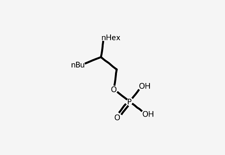 CCCCCCC(CCCC)COP(=O)(O)O